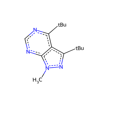 Cn1nc(C(C)(C)C)c2c(C(C)(C)C)ncnc21